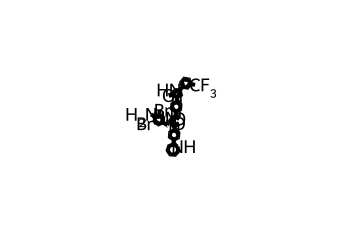 Nc1c(Br)cc(C[C@@H](NC(=O)N2CCC(n3cc(-c4cccc(C(F)(F)F)c4)[nH]c3=O)CC2)C(=O)N2CCC(C3CCCCCN3)CC2)cc1Br